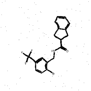 O=C(NCc1cc(C(F)(F)F)ccc1Br)C1Cc2ccccc2C1